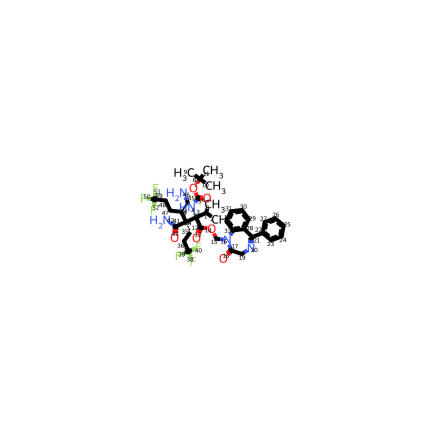 CC(C)[C@@](NC(=O)OC(C)(C)C)(C(=O)OCN1C(=O)CN=C(c2ccccc2)c2ccccc21)[C@@](CCC(F)(F)F)(C(N)=O)[C@H](CN)CCC(F)(F)F